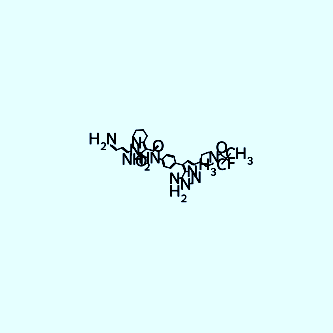 CC(C)(F)C(=O)N1CCC(c2cc(-c3ccc(NC(=O)c4c5n(n(/C(N)=C/C=C\N)c4=O)CCCC5)cc3)c3c(N)ncnn23)CC1